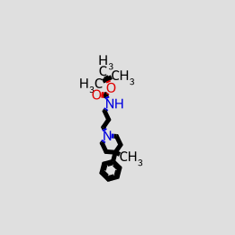 CC(C)(C)OC(=O)NCCCN1CCC(C)(c2ccccc2)CC1